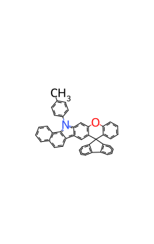 Cc1ccc(-n2c3cc4c(cc3c3ccc5ccccc5c32)C2(c3ccccc3O4)c3ccccc3-c3ccccc32)cc1